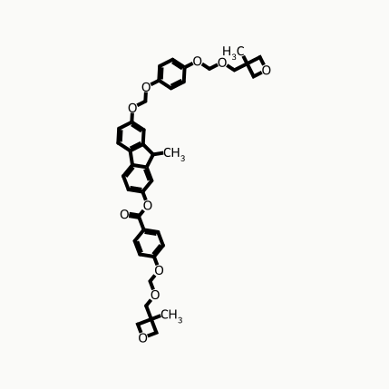 CC1c2cc(OCOc3ccc(OCOCC4(C)COC4)cc3)ccc2-c2ccc(OC(=O)c3ccc(OCOCC4(C)COC4)cc3)cc21